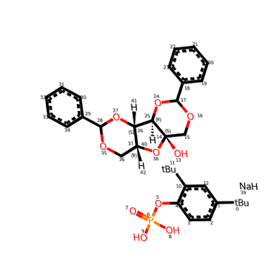 CC(C)(C)c1ccc(OP(=O)(O)O)c(C(C)(C)C)c1.O[C@]12COC(c3ccccc3)O[C@@H]1[C@H]1OC(c3ccccc3)OC[C@H]1O2.[NaH]